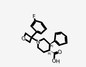 O=C(O)[C@@H]1CCN(C2(c3cccc(F)c3)COC2)C[C@H]1c1ccccc1